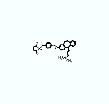 CN(C)CCCC1c2ccccc2CCc2cc(OCc3ccc(C(=O)ON4C(=O)CCC4=O)cc3)ccc21